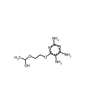 CC(O)OCCOc1nc(N)nc(N)c1N